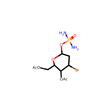 CC(=O)OCC1OC(OP(N)(N)=O)CC(Br)C1OC(C)=O